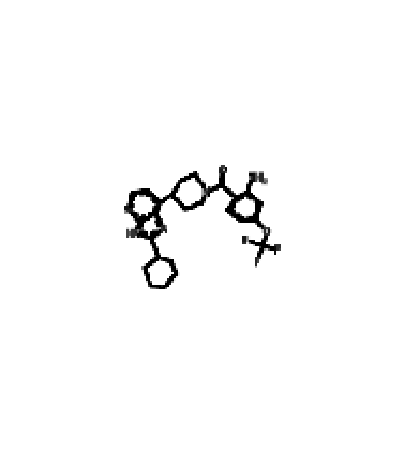 Nc1cc(OC(F)(F)F)ccc1C(=O)N1CCC(c2ccnc3[nH]c(C4CCCCC4)nc23)CC1